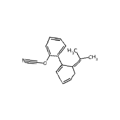 CC(C)=C1CC=CC=C1c1ccccc1OC#N